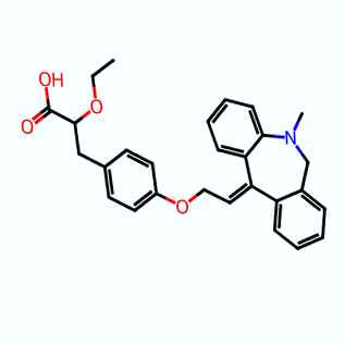 CCOC(Cc1ccc(OCC=C2c3ccccc3CN(C)c3ccccc32)cc1)C(=O)O